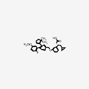 COc1ccc(F)c(-c2ccc(COc3cccc([C@H](CC(=O)O)CC4CC4)c3)cc2C2=CCCC2(C)C)c1